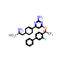 Nc1nc(O[C@H](c2ccc(-c3ccccc3)cc2F)C(F)(F)F)cc(C2=CCC(C[C@H](N)C(=O)O)CC2)n1